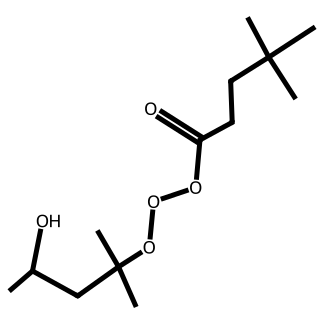 CC(O)CC(C)(C)OOOC(=O)CCC(C)(C)C